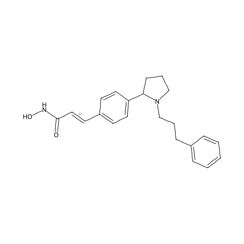 O=C(/C=C/c1ccc(C2CCCN2CCCc2ccccc2)cc1)NO